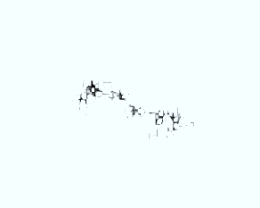 Cc1ccc(N)cc1C(=O)NC(C)c1ccc(C#CC2CCN(C(=O)CCCCC(=O)N3CCC(c4ccc5c(c4)n(C)c(=O)n5C4CCC(=O)NC4=O)CC3)CC2)c2ccccc12